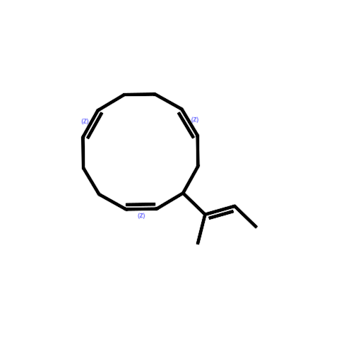 CC=C(C)C1/C=C\CC/C=C\CC/C=C\C1